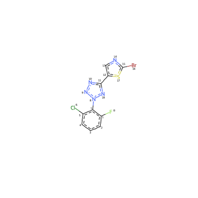 Fc1cccc(Cl)c1-n1nnc(-c2cnc(Br)s2)n1